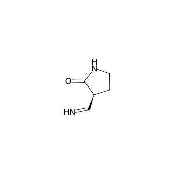 N=C[C@@H]1CCNC1=O